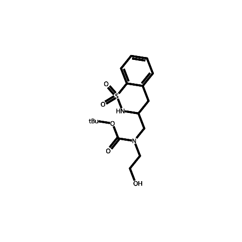 CC(C)(C)OC(=O)N(CCO)CC1Cc2ccccc2S(=O)(=O)N1